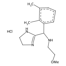 COCCNC(C1=NCCN1)c1cccc(C)c1C.Cl